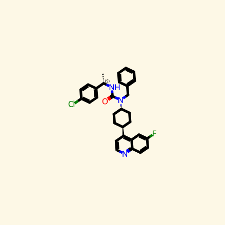 C[C@H](NC(=O)N(Cc1ccccc1)[C@H]1CC[C@H](c2ccnc3ccc(F)cc32)CC1)c1ccc(Cl)cc1